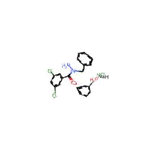 Cc1ccccc1.Cl.NN(Cc1ccccc1)C(=O)c1cc(Cl)cc(Cl)c1.O.[NaH]